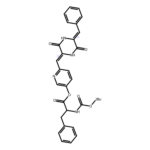 CC(C)(C)OC(=O)NC(Cc1ccccc1)C(=O)Oc1ccc(/C=c2\[nH]c(=O)/c(=C/c3ccccc3)[nH]c2=O)nc1